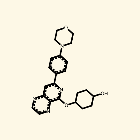 OC1CCC(Oc2nc(-c3ccc(N4CCOCC4)cc3)cc3nccnc23)CC1